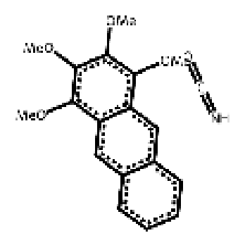 COc1c(OC)c(OC)c2cc3ccccc3cc2c1OC.N=C=O